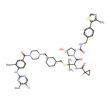 CNc1nc(Nc2ccc(C(=O)N3CCN(C[C@@H]4CCC[C@H](CSC(C)(C)C(NC(=O)C5(F)CC5)C(=O)N5C[C@H](O)C[C@@H]5C(=O)NCc5ccc(-c6scnc6C)cc5)C4)CC3)cc2OC)ncc1Cl